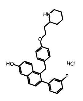 Cl.Oc1ccc2c(Cc3ccc(OCCC4CCCCN4)cc3)c(-c3cccc(F)c3)ccc2c1